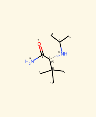 CC(C)N[C@@H](C(N)=O)C(C)(C)C